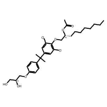 CCCCCCCC[C@H](COc1c(Cl)cc(C(C)(C)c2ccc(OC[C@@H](O)CO)cc2)cc1Cl)OC(C)=O